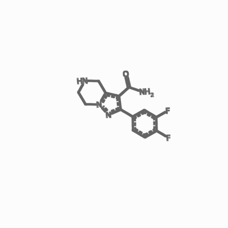 NC(=O)c1c(-c2ccc(F)c(F)c2)nn2c1CNCC2